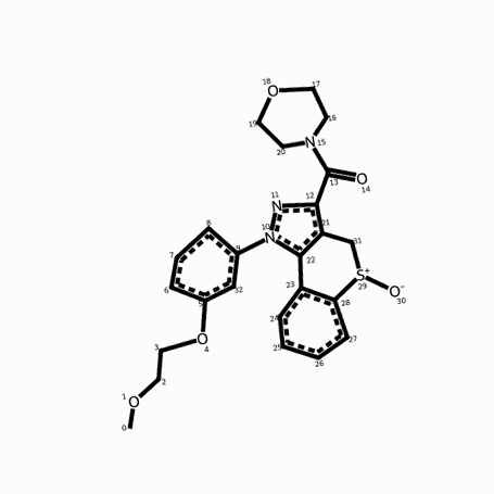 COCCOc1cccc(-n2nc(C(=O)N3CCOCC3)c3c2-c2ccccc2[S+]([O-])C3)c1